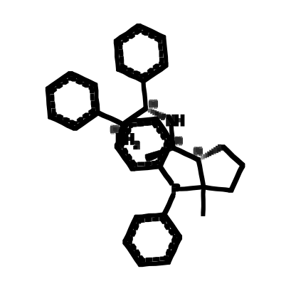 C[C@@H](N[C@@H](c1ccccc1)[C@@H](N)c1ccccc1)[C@@H]1CCCC1(C)P(c1ccccc1)c1ccccc1